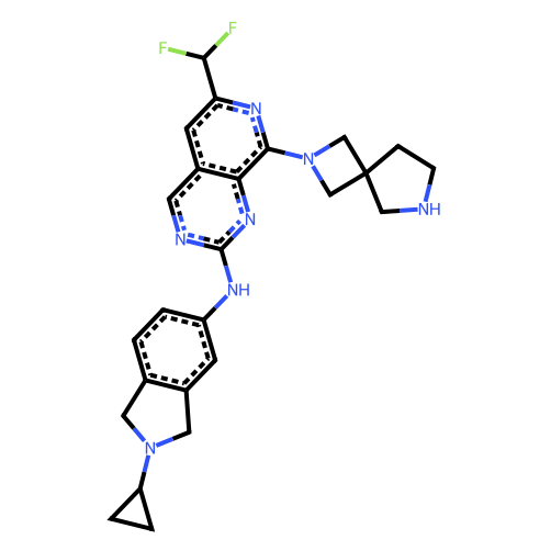 FC(F)c1cc2cnc(Nc3ccc4c(c3)CN(C3CC3)C4)nc2c(N2CC3(CCNC3)C2)n1